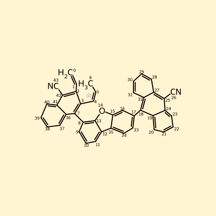 C=Cc1c(/C=C\C)c(-c2cccc3c2oc2cc(-c4c5ccccc5c(C#N)c5ccccc45)ccc23)c2ccccc2c1C#N